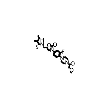 CCC(C)C(=S)NCC1CN(c2ccc(N3CCN(C(=O)COC)CC3)c(F)c2)C(=O)O1